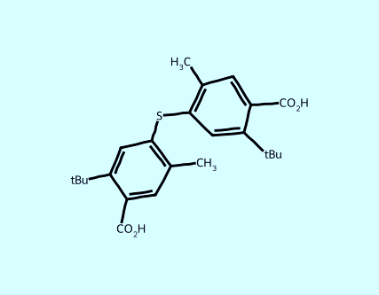 Cc1cc(C(=O)O)c(C(C)(C)C)cc1Sc1cc(C(C)(C)C)c(C(=O)O)cc1C